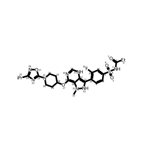 CCC(=O)NS(=O)(=O)c1ccc(C2=C3NC=NC(OC4CCN(c5nc(C(C)C)no5)CC4)=C3N(C)N2)c(F)c1